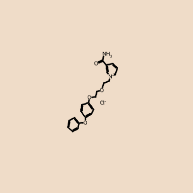 NC(=O)c1ccc[n+](CCOCCOc2ccc(Oc3ccccc3)cc2)c1.[Cl-]